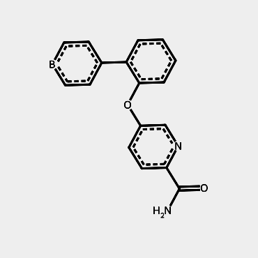 NC(=O)c1ccc(Oc2ccccc2-c2ccbcc2)cn1